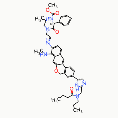 CCCC(=O)N(CCC)Cc1ncc(-c2ccc3c(c2)COc2cc4c(NC)c(/N=C/CN(CCC)C(=O)[C@H](NC(=O)OC)c5ccccc5)ccc4cc2-3)[nH]1